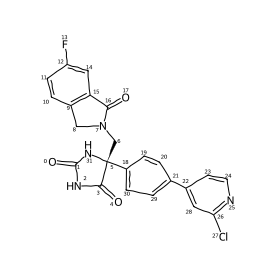 O=C1NC(=O)[C@@](CN2Cc3ccc(F)cc3C2=O)(c2ccc(-c3ccnc(Cl)c3)cc2)N1